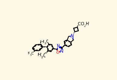 Cc1cc(-c2nc(-c3ccc4c(c3)CN([C@H]3C[C@H](C(=O)O)C3)C4)no2)cc(C)c1-c1cccc(C(F)(F)F)c1